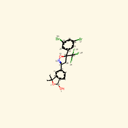 CC1(C)OB(O)c2ccc(C3=NOC(c4cc(Br)cc(Br)c4)(C(F)(F)F)C3)cc21